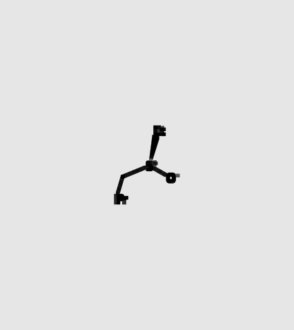 CC[S@@+]([O-])CC(C)C